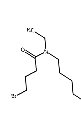 N#CCN(CCCCBr)C(=O)CCCBr